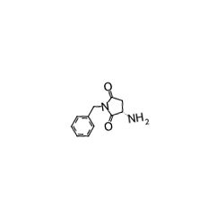 N[C@H]1CC(=O)N(Cc2ccccc2)C1=O